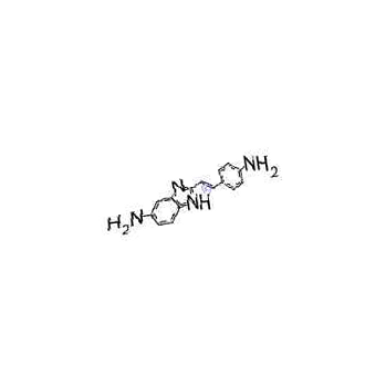 Nc1ccc(/C=C/c2nc3cc(N)ccc3[nH]2)cc1